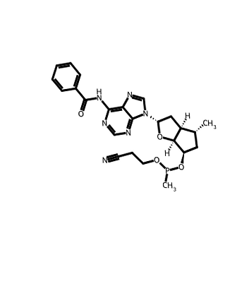 C[C@@H]1C[C@@H](OP(C)OCCC#N)[C@H]2O[C@H](n3cnc4c(NC(=O)c5ccccc5)ncnc43)C[C@H]21